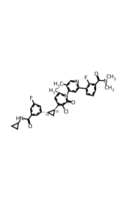 Cc1cnc(-c2cccc(C(=O)N(C)C)c2F)cc1-n1c(C)cc([C@H]2C[C@@H]2c2cc(F)cc(C(=O)NC3CC3)c2)c(Cl)c1=O